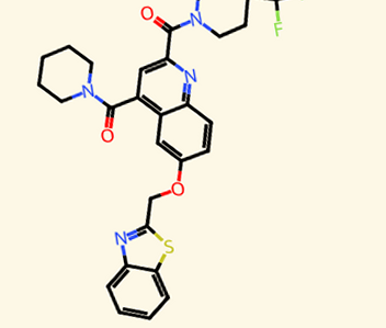 O=C(c1cc(C(=O)N2CCCCC2)c2cc(OCc3nc4ccccc4s3)ccc2n1)N1CCC2(CC1)CC2(F)F